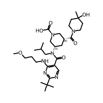 COCCCNc1nc(C(C)(C)C)ncc1C(=O)N(CC(C)C)[C@H]1C[C@@H](C(=O)N2CCC(C)(O)CC2)CN(C(=O)O)C1